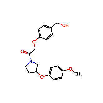 COc1ccc(OC2CCN(C(=O)COc3ccc(CO)cc3)C2)cc1